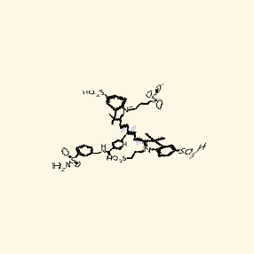 CC1(C)C(/C=C/C(=C/C=C2/N(CCCS(=O)(=O)O)c3ccc(S(=O)(=O)O)cc3C2(C)C)c2ccc(C(=O)NCc3cccc(S(N)(=O)=O)c3)cn2)=[N+](CCCS(=O)(=O)[O-])c2ccc(S(=O)(=O)O)cc21